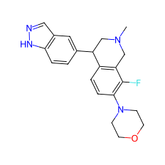 CN1Cc2c(ccc(N3CCOCC3)c2F)C(c2ccc3[nH]ncc3c2)C1